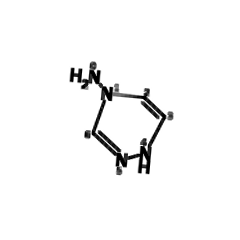 NN1C=CNN=C1